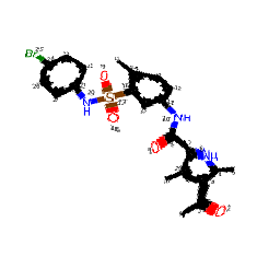 CC(=O)c1c(C)[nH]c(C(=O)Nc2ccc(C)c(S(=O)(=O)Nc3ccc(Br)cc3)c2)c1C